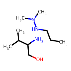 CC(C)C(N)CO.CCCNN(C)C